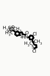 CC(C)(c1cc(Cl)cc(NC(=O)c2cc3cc(C(C)(C)S(C)(=O)=O)ccc3s2)c1)c1ccc(Cl)s1